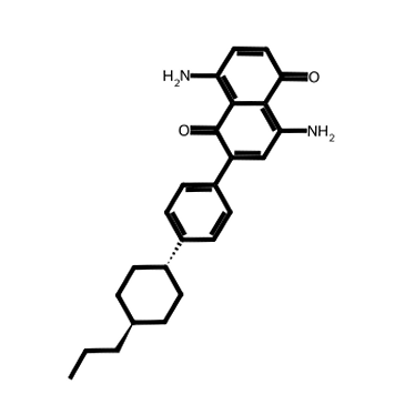 CCC[C@H]1CC[C@H](c2ccc(C3=CC(N)=C4C(=O)C=CC(N)=C4C3=O)cc2)CC1